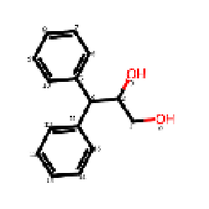 OCC(O)C(c1ccccc1)c1ccccc1